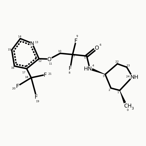 C[C@H]1C[C@@H](NC(=O)C(F)(F)COc2ncccc2C(F)(F)F)CCN1